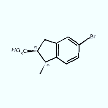 C[C@H]1c2ccc(Br)cc2C[C@@H]1C(=O)O